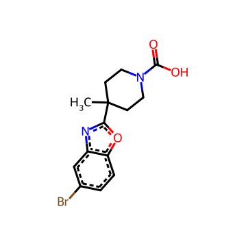 CC1(c2nc3cc(Br)ccc3o2)CCN(C(=O)O)CC1